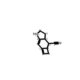 N#CC1C2CC=C2C=C2NCCC21